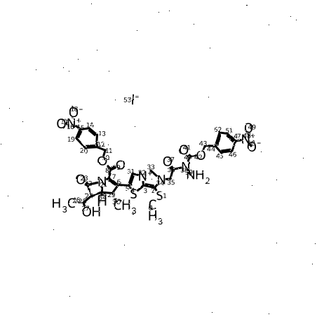 CSc1c2sc(C3=C(C(=O)OCc4ccc([N+](=O)[O-])cc4)N4C(=O)[C@H]([C@@H](C)O)[C@H]4[C@H]3C)c[n+]2cn1CC(=O)N(N)C(=O)OCc1ccc([N+](=O)[O-])cc1.[I-]